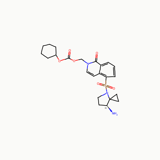 N[C@H]1CCN(S(=O)(=O)c2cccc3c(=O)n(COC(=O)OC4CCCCC4)ccc23)C12CC2